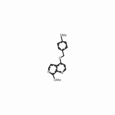 COc1nccc2c(OCc3ccc(SC)cc3)ccnc12